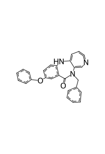 O=C1c2cc(Oc3ccccc3)ccc2NC2=CC=C=NC=C2N1Cc1ccccc1